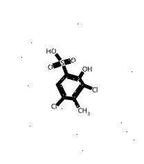 Cc1c(Cl)cc(S(=O)(=O)O)c(O)c1Cl